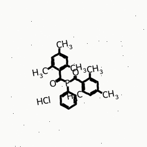 Cc1cc(C)c(C(=O)P(C(=O)c2c(C)cc(C)cc2C)c2ccccc2)c(C)c1.Cl